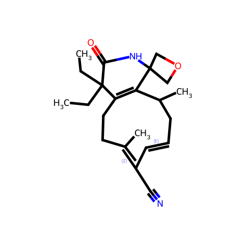 CCC1(CC)C(=O)NC2(COC2)C2=C1CC/C(C)=C(C#N)/C=C/CC2C